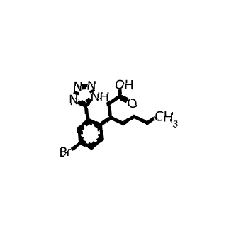 CCCCC(CC(=O)O)c1ccc(Br)cc1-c1nnn[nH]1